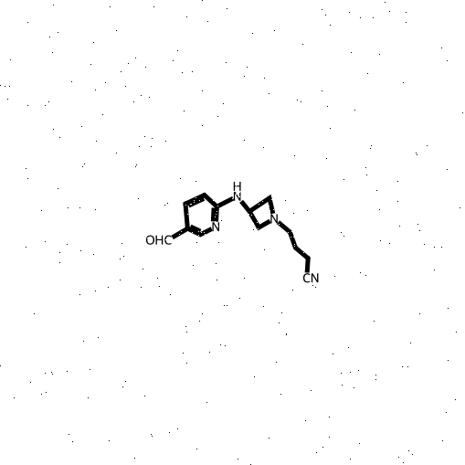 N#CCCCN1CC(Nc2ccc(C=O)cn2)C1